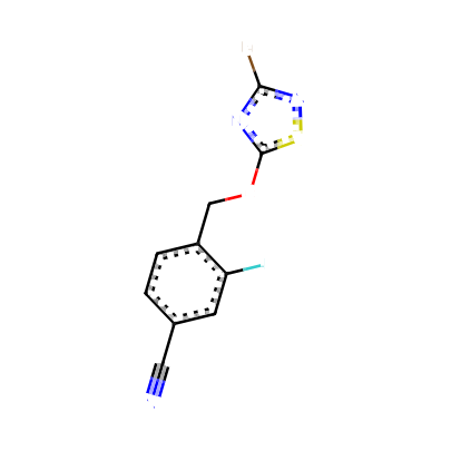 N#Cc1ccc(COc2nc(Br)ns2)c(F)c1